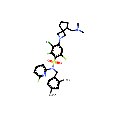 COc1ccc(CN(c2cccc(F)n2)S(=O)(=O)c2c(F)cc(N3CC4(CCCC4CN(C)C)C3)c(Cl)c2F)c(OC)c1